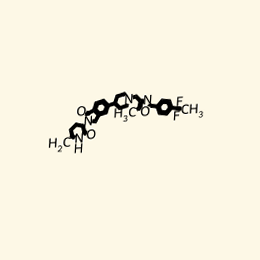 C=C1CCC(N2Cc3cc(C4CCN(Cc5nc(-c6ccc(C(C)(F)F)cc6)oc5C)CC4)ccc3C2=O)C(=O)N1